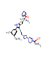 CC(=O)N1CCN(C2CCN(CCc3c(-c4cc(C)cc(C)c4)[nH]c4sc(C(C)(C)C(=O)N5C6CCC5CC6)cc34)C2)CC1